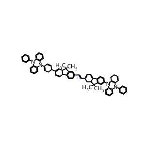 CC1(C)c2cc(N3C4=C(C=CCC4)N(c4ccccc4)c4ccccc43)ccc2C2=CC=C(/C=C/c3ccc4c(c3)C(C)(C)C3C=C(C5C=CC(N6c7ccccc7N(c7ccccc7)c7ccccc76)=CC5)C=CC43)CC21